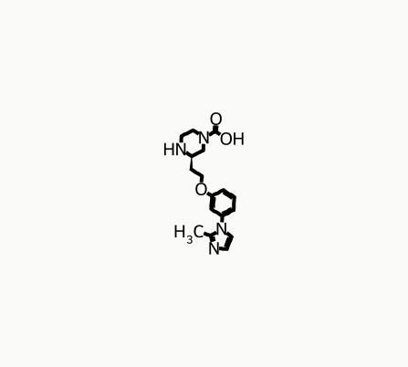 Cc1nccn1-c1cccc(OCC[C@@H]2CN(C(=O)O)CCN2)c1